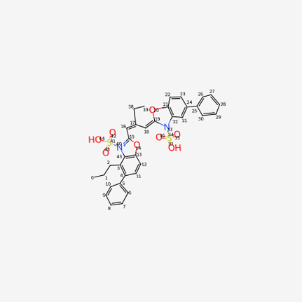 CCCc1c(-c2ccccc2)ccc2oc(C=C(C=C3Oc4ccc(-c5ccccc5)cc4N3S(=O)(=O)O)CC)[n+](S(=O)(=O)O)c12